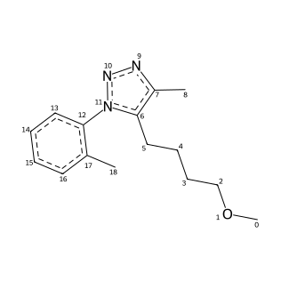 COCCCCc1c(C)nnn1-c1ccccc1C